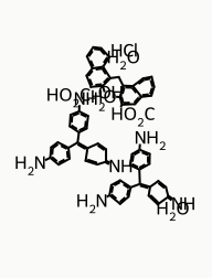 Cl.N=C1C=CC(=C(c2ccc(N)cc2)c2ccc(N)cc2)C=C1.N=C1C=CC(=C(c2ccc(N)cc2)c2ccc(N)cc2)C=C1.O.O.O=C(O)c1cc2ccccc2c(Cc2c(O)c(C(=O)O)cc3ccccc23)c1O